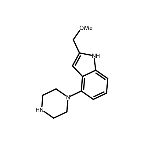 COCc1cc2c(N3CCNCC3)cccc2[nH]1